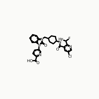 O=C(O)c1ccc(-n2c(=O)n(CC3CCC(NC(=O)c4cc(Cl)cnc4C(F)F)CC3)c3ccccc32)cn1